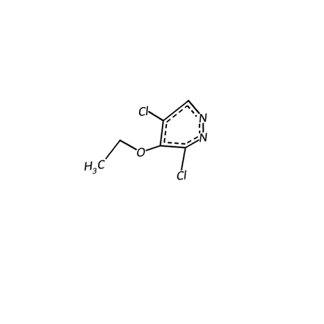 CCOc1c(Cl)cnnc1Cl